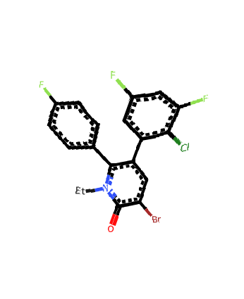 CCn1c(-c2ccc(F)cc2)c(-c2cc(F)cc(F)c2Cl)cc(Br)c1=O